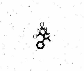 Cc1sc2nc(Cl)nc(Cl)c2c1-c1ccccc1